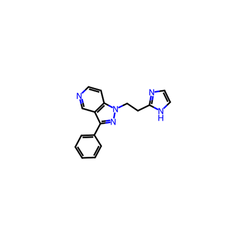 c1ccc(-c2nn(CCc3ncc[nH]3)c3ccncc23)cc1